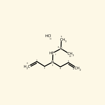 C=CCN(CC=C)PN(C)C.Cl